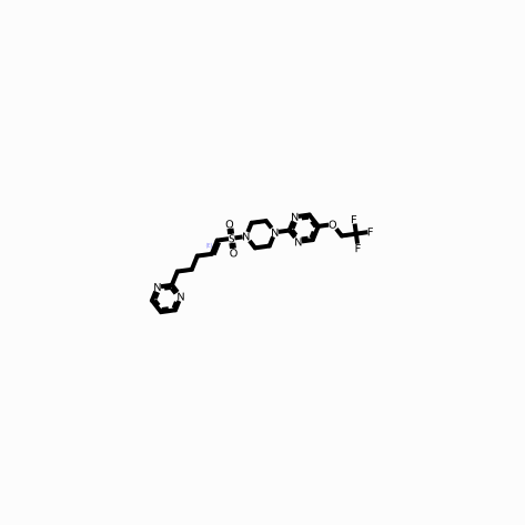 O=S(=O)(/C=C/CCCc1ncccn1)N1CCN(c2ncc(OCC(F)(F)F)cn2)CC1